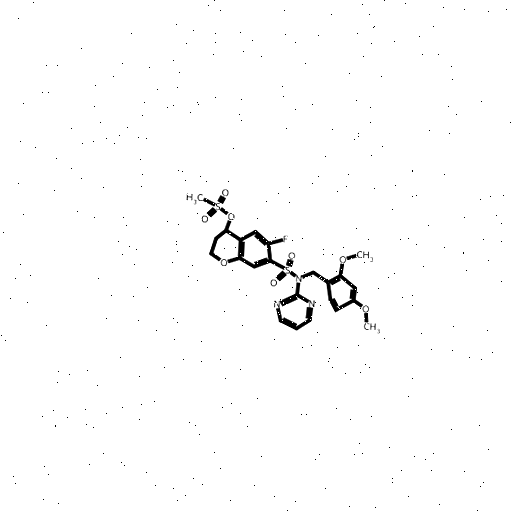 COc1ccc(CN(c2ncccn2)S(=O)(=O)c2cc3c(cc2F)C(OS(C)(=O)=O)CCO3)c(OC)c1